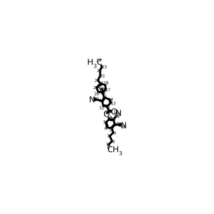 CCCCCc1ccc(OC(=O)c2ccc(C34CCC(CCCCC)(CC3)CC4)c(C#N)c2)c(C#N)c1C#N